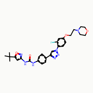 CC(C)(C)c1cc(NC(=O)Nc2ccc(-c3cn(-c4ccc(OCCN5CCOCC5)cc4F)nn3)cc2)no1